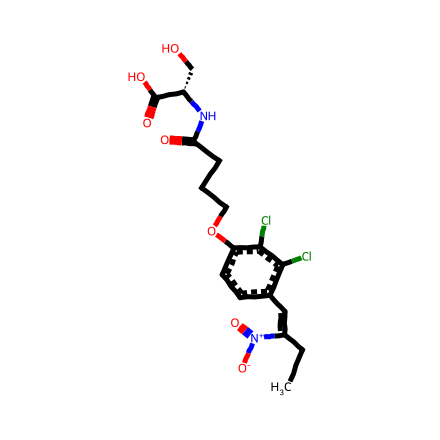 CC/C(=C/c1ccc(OCCCC(=O)N[C@@H](CO)C(=O)O)c(Cl)c1Cl)[N+](=O)[O-]